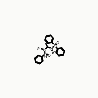 CC(C)N(C(C)N(C(C)C)P(=O)(c1ccccc1)c1ccccc1)[PH](=O)c1ccccc1